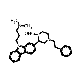 CN(C)CCCn1c2ccccc2c2ccc(C3CN(CCc4ccccc4)CCN3C=O)cc21